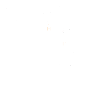 c1ccc(-c2ccc(Pc3ccccc3Oc3ccccc3Pc3ccc(-c4ccccc4)cc3)cc2)cc1